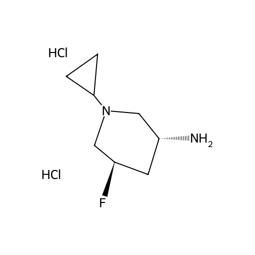 Cl.Cl.N[C@@H]1C[C@@H](F)CN(C2CC2)C1